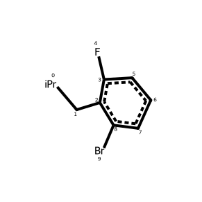 CC(C)Cc1c(F)cccc1Br